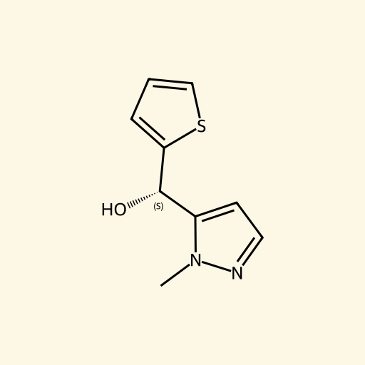 Cn1nccc1[C@H](O)c1cccs1